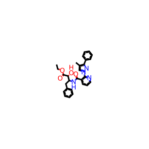 CCOC(=O)C(O)C(Cc1ccccc1)NC(=O)c1cccnc1-n1cc(C)c(-c2ccccc2)n1